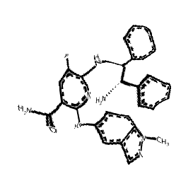 Cn1ncc2cc(Nc3nc(N[C@@H](c4ccccc4)[C@@H](N)c4ccccc4)c(F)cc3C(N)=O)ccc21